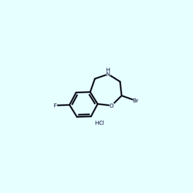 Cl.Fc1ccc2c(c1)CNCC(Br)O2